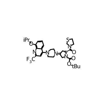 CC(C)Oc1cccc2c(N3CCN([C@H]4C[C@@H](C(=O)N5CCSC5)N(C(=O)OC(C)(C)C)C4)CC3)cc(C(F)(F)F)nc12